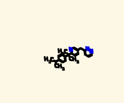 CC(C)c1ccc(C(C)(C)c2ccc(Cc3cccnn3)cn2)cc1